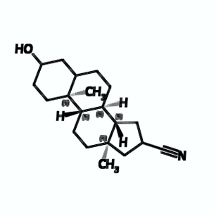 C[C@]12CC[C@H]3[C@@H](CCC4CC(O)CC[C@@]43C)[C@@H]1CC(C#N)C2